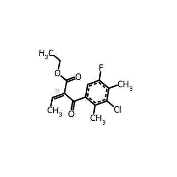 C/C=C(/C(=O)OCC)C(=O)c1cc(F)c(C)c(Cl)c1C